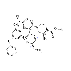 C=C(/C=C\C(F)=C/C)[C@H](C(=O)N1CCN(C(=O)OC(C)(C)C)[C@@H](CC)C1)N(C(=O)CCl)c1ccc(Oc2ccccc2)cc1C